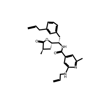 C=CCNc1cc(C(=O)N[C@@H](Cc2cccc(CC=C)c2)[C@@H]2C[C@@H](C)C(=O)O2)cc(C)n1